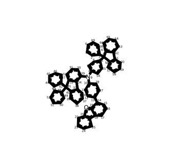 c1ccc(C2(c3ccc(N(c4ccc(-c5cccc6c5oc5ccccc56)cc4)c4cccc5c4-c4ccccc4C5(c4ccccc4)c4ccccc4)cc3)c3ccccc3-c3ccccc32)cc1